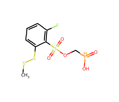 CSSc1cccc(F)c1S(=O)(=O)OC[PH](=O)O